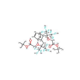 CC(C)(C)OC(=O)COC(CC1C2C=CC(C2)C1C(OCC(=O)OC(C)(C)C)(C(F)(F)F)C(F)(F)F)(C(F)(F)F)C(F)(F)F